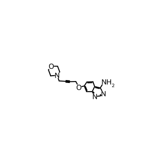 Nc1ncnc2cc(OCC#CCN3CCOCC3)ccc12